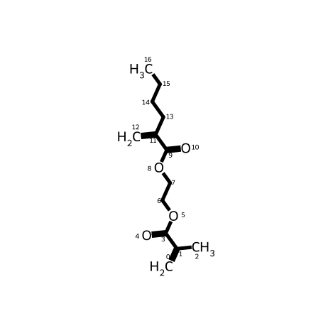 C=C(C)C(=O)OCCOC(=O)C(=C)CCCC